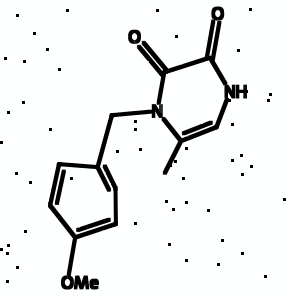 COc1ccc(Cn2c(C)c[nH]c(=O)c2=O)cc1